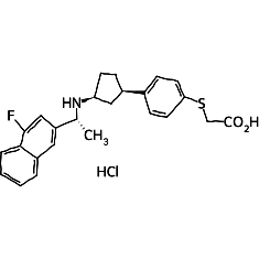 C[C@@H](N[C@H]1CC[C@@H](c2ccc(SCC(=O)O)cc2)C1)c1cc(F)c2ccccc2c1.Cl